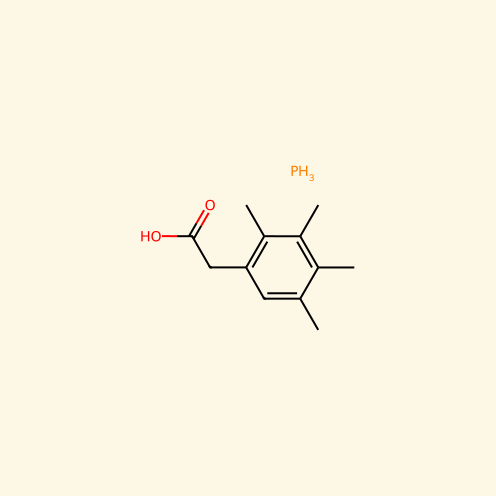 Cc1cc(CC(=O)O)c(C)c(C)c1C.P